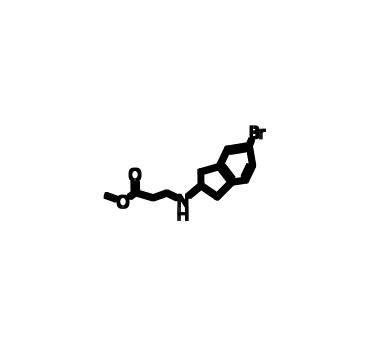 COC(=O)CCNC1Cc2ccc(Br)cc2C1